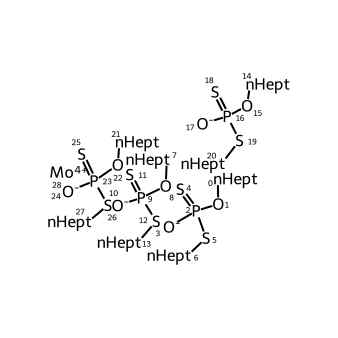 CCCCCCCOP([O-])(=S)SCCCCCCC.CCCCCCCOP([O-])(=S)SCCCCCCC.CCCCCCCOP([O-])(=S)SCCCCCCC.CCCCCCCOP([O-])(=S)SCCCCCCC.[Mo+4]